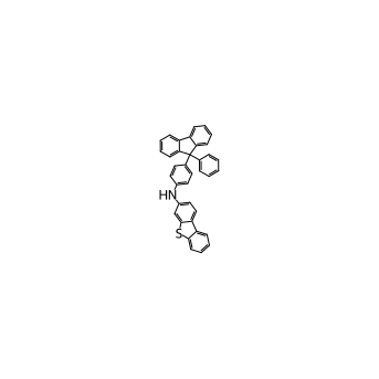 c1ccc(C2(c3ccc(Nc4ccc5c(c4)sc4ccccc45)cc3)c3ccccc3-c3ccccc32)cc1